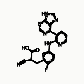 N#CC(Cc1cc(Nc2ncccc2-c2ncnc3[nH]cnc23)ccc1F)C(=O)O